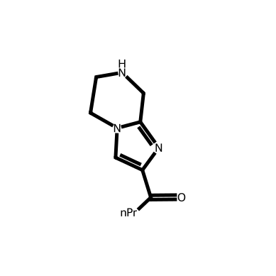 CCCC(=O)c1cn2c(n1)CNCC2